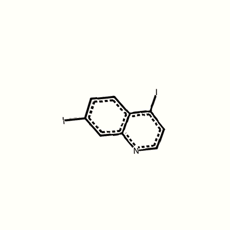 Ic1ccc2c(I)ccnc2c1